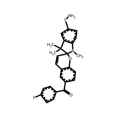 CN1c2ccc(SN)cc2C(C)(C)C12C=Cc1cc(C(=O)c3ccc(F)cc3)ccc1O2